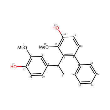 COc1cc(C(C)c2c(-c3ccccc3)ccc(O)c2OC)ccc1O